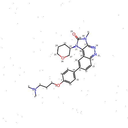 CN(C)CCCOc1ccc(-c2ccc3nnc4c(c3c2)n([C@@H]2CCCOC2)c(=O)n4C)cc1